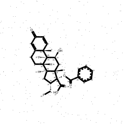 C[C@]12C=CC(=O)C=C1CC[C@H]1[C@@H]3C[C@@H](CF)[C@](OC(=O)c4ccccc4)(C(O)=S)[C@@]3(C)C[C@H](O)[C@@]12F